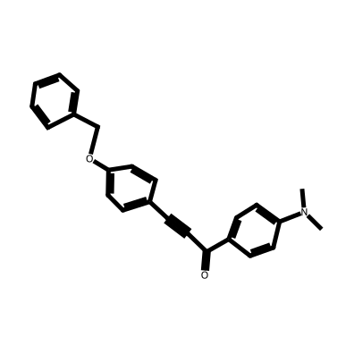 CN(C)c1ccc(C(=O)C#Cc2ccc(OCc3ccccc3)cc2)cc1